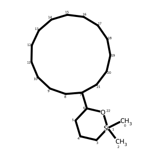 C[Si]1(C)CCCC(C2CCCCCCCCCCCCCC2)O1